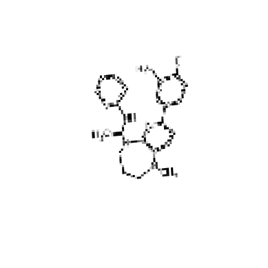 C=C(Nc1ccccn1)N1CCCN(C)c2ccc(-c3ccc(F)c(C)c3)nc21